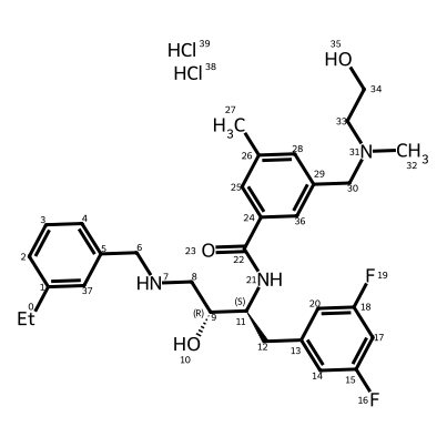 CCc1cccc(CNC[C@@H](O)[C@H](Cc2cc(F)cc(F)c2)NC(=O)c2cc(C)cc(CN(C)CCO)c2)c1.Cl.Cl